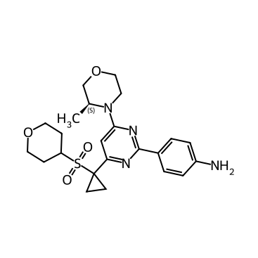 C[C@H]1COCCN1c1cc(C2(S(=O)(=O)C3CCOCC3)CC2)nc(-c2ccc(N)cc2)n1